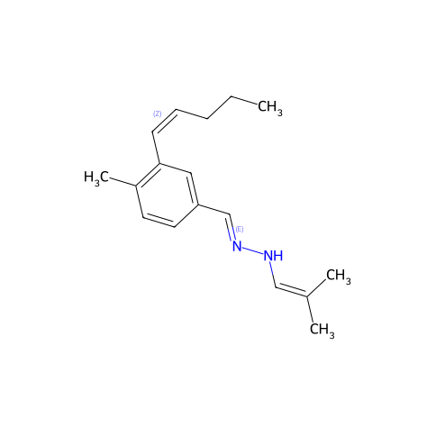 CCC/C=C\c1cc(/C=N/NC=C(C)C)ccc1C